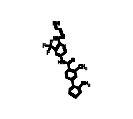 Cc1cc(-c2ccccc2N)ccc1C(=O)Nc1cnc(N/N=C\C=N)c(C(F)(F)F)c1